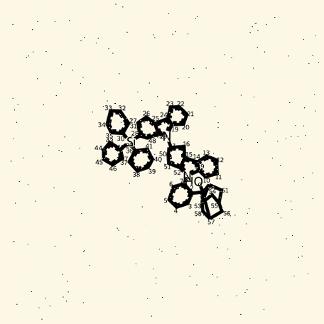 OC1(c2ccccc2-n2c3ccccc3c3cc(-n4c5ccccc5c5ccc([Si](c6ccccc6)(c6ccccc6)c6ccccc6)cc54)ccc32)C2CC3CC(C2)CC1C3